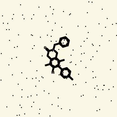 CCc1c(C)c2c(c(C)c1-c1ccc(C)cc1)CN(Cc1ccccc1)C(=O)C2